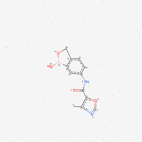 Cc1ncoc1C(=O)Nc1ccc2c(c1)B(O)OC2